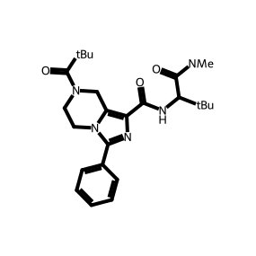 CNC(=O)C(NC(=O)c1nc(-c2ccccc2)n2c1CN(C(=O)C(C)(C)C)CC2)C(C)(C)C